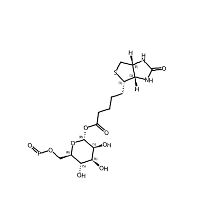 O=POC[C@H]1O[C@H](OC(=O)CCCC[C@@H]2SC[C@@H]3NC(=O)N[C@@H]32)[C@@H](O)[C@@H](O)[C@@H]1O